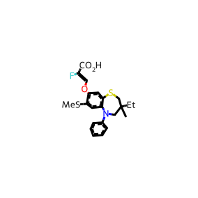 CCC1(C)CSc2cc(O/C=C(\F)C(=O)O)c(SC)cc2N(c2ccccc2)C1